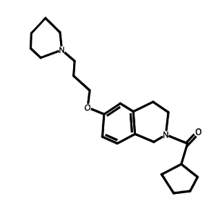 O=C(C1CCCC1)N1CCc2cc(OCCCN3CCCCC3)ccc2C1